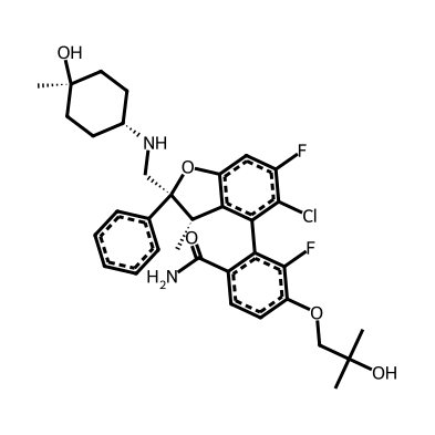 C[C@H]1c2c(cc(F)c(Cl)c2-c2c(C(N)=O)ccc(OCC(C)(C)O)c2F)O[C@]1(CN[C@H]1CC[C@](C)(O)CC1)c1ccccc1